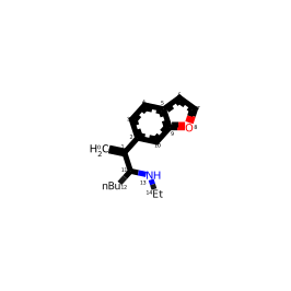 C=C(c1ccc2ccoc2c1)C(CCCC)NCC